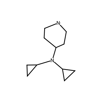 C1CC(N(C2CC2)C2CC2)CC[N]1